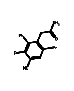 CC(C)c1cc(C#N)c(F)c(C(C)C)c1CC(N)=O